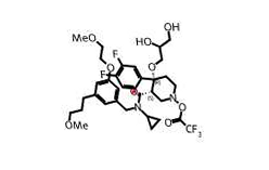 COCCCc1cc(CN(C(=O)[C@H]2CN(OC(=O)C(F)(F)F)CC[C@]2(OCC(O)CO)c2ccc(F)c(F)c2)C2CC2)cc(OCCOC)c1